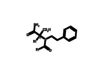 CCC(=O)N(CCc1ccccc1)[C@](CC)(C(N)=O)C(=O)O